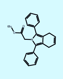 CC(C)(C)OC(=O)Cn1c(-c2ccccc2)c2c(c1-c1ccccc1)CC=CC2